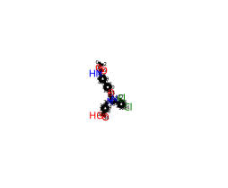 CC(C)OC(=O)Nc1ccc(-c2ccc(OCc3nc(-c4ccc(Cl)cc4Cl)cn3Cc3ccc(C(=O)O)cc3)cc2)cc1